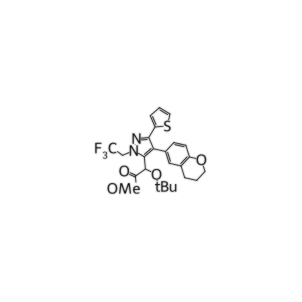 COC(=O)C(OC(C)(C)C)c1c(-c2ccc3c(c2)CCCO3)c(-c2cccs2)nn1CC(F)(F)F